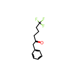 O=C(CCCC(F)(F)F)Cc1ccccc1